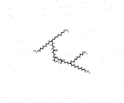 CCCCCCCCCC(CCCCCCCCC)CCCOC(=O)CCCC(CC)CCCC(=O)OCCCC(CCCCCCCCC)CCCCCCCCC